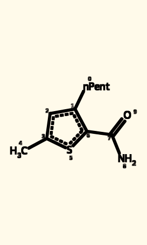 CCCCCc1cc(C)sc1C(N)=O